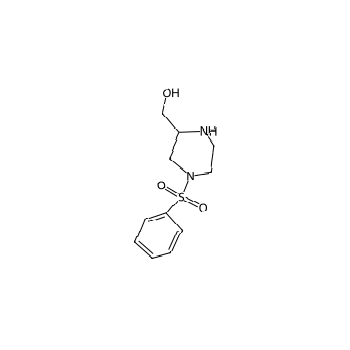 O=S(=O)(c1ccccc1)N1CCNC(CO)C1